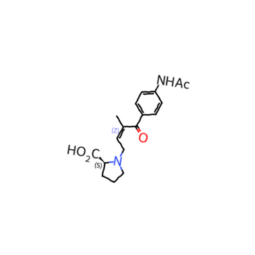 CC(=O)Nc1ccc(C(=O)/C(C)=C\CN2CCC[C@H]2C(=O)O)cc1